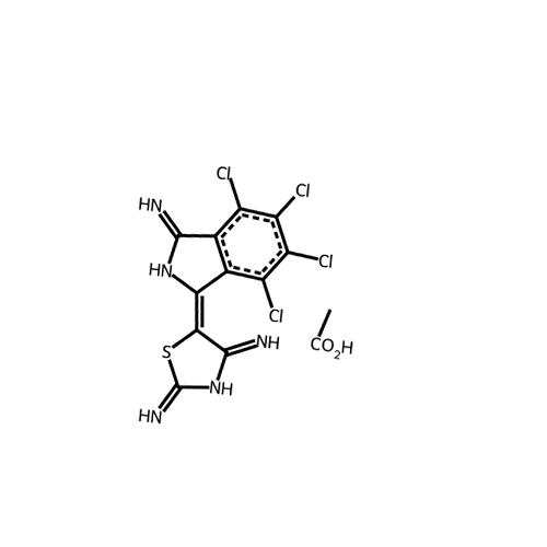 CC(=O)O.N=C1NC(=N)C(=C2NC(=N)c3c(Cl)c(Cl)c(Cl)c(Cl)c32)S1